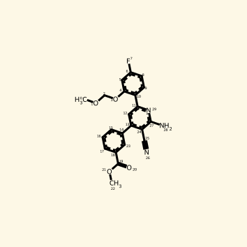 COCOc1cc(F)ccc1-c1cc(-c2cccc(C(=O)OC)c2)c(C#N)c(N)n1